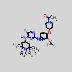 CC(=O)N1CCC(Oc2ccc(Nc3ncc(F)c(NC4CC(C)(C)N(C)C(C)(C)C4)n3)cc2OC(F)F)CC1